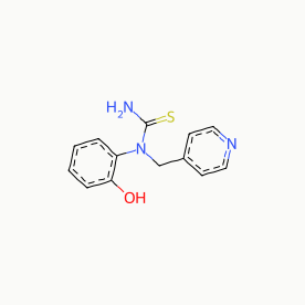 NC(=S)N(Cc1ccncc1)c1ccccc1O